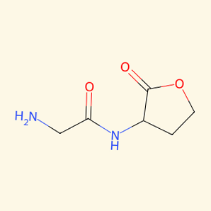 NCC(=O)NC1CCOC1=O